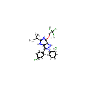 CC(C)c1nc(OCC(F)(F)F)c2nn(-c3ccccc3Cl)c(-c3ccc(Cl)cc3)c2n1